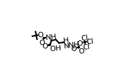 CC(C)(C)OC(=O)NC(CCCNNOC(=O)OC(Cl)(Cl)Cl)C(=O)O